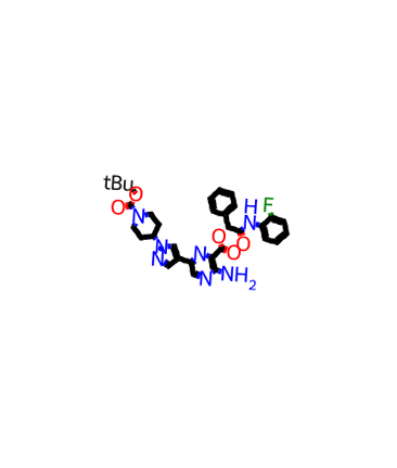 CC(C)(C)OC(=O)N1CCC(n2cc(-c3cnc(N)c(C(=O)O[C@@H](C(=O)Nc4ccccc4F)c4ccccc4)n3)cn2)CC1